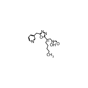 CCCCC[C@H](CN(O)C=O)c1nnc(Cc2cccnc2)o1